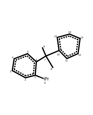 CC(C)c1ccccc1C(C)(C)c1ccccc1